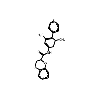 CC1=C(c2ccncc2)C(C)CC(NC(=O)C2COc3ccccc3O2)=C1